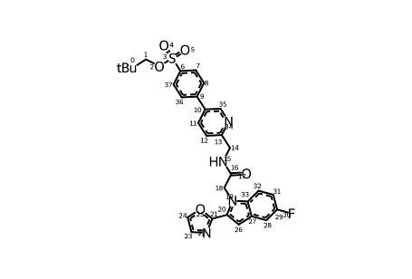 CC(C)(C)COS(=O)(=O)c1ccc(-c2ccc(CNC(=O)Cn3c(-c4ncco4)cc4cc(F)ccc43)nc2)cc1